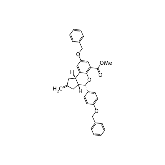 C=C1C[C@@H]2[C@H](C1)c1cc(OCc3ccccc3)cc(C(=O)OC)c1O[C@@H]2c1ccc(OCc2ccccc2)cc1